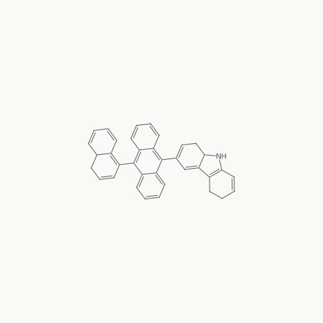 C1=CC2=C(c3c4ccccc4c(C4=CCC5NC6=C(CCC=C6)C5=C4)c4ccccc34)C=CCC2C=C1